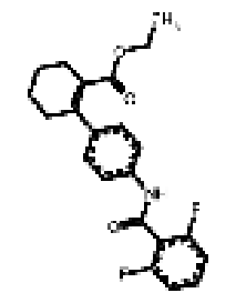 CCOC(=O)C1=C(c2ccc(NC(=O)c3c(F)cccc3F)cc2)CCCC1